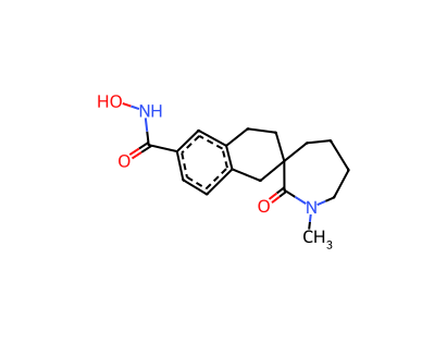 CN1CCCCC2(CCc3cc(C(=O)NO)ccc3C2)C1=O